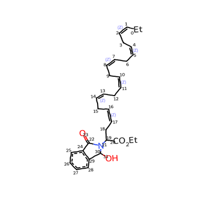 CC/C=C\C/C=C\C/C=C\C/C=C\C/C=C\C/C=C\CC(C(=O)OCC)N1C(=O)c2ccccc2C1O